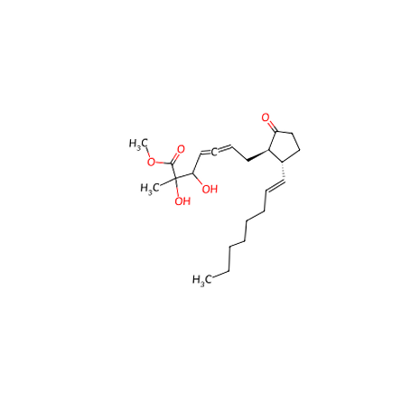 CCCCCCC=C[C@H]1CCC(=O)[C@@H]1CC=C=CC(O)C(C)(O)C(=O)OC